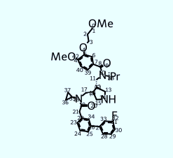 COCCCOc1cc(C(=O)N(C[C@@H]2CNC[C@H]2CN(C(=O)Cc2cccc(-c3cccc(F)c3)c2)C2CC2)C(C)C)ccc1OC